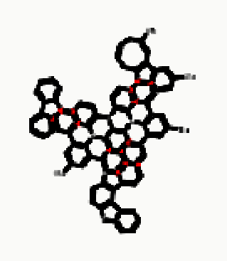 CC(C)(C)/C1=C/c2c(n(-c3ccc4c(c3)N(c3c(-c5ccccc5)cc(C(C)(C)C)cc3-c3ccccc3)c3cc(-c5cccc6c5oc5ccc7sc8ccccc8c7c56)cc5c3B4c3ccc(-n4c6ccccc6c6ccccc64)cc3N5c3c(-c4ccccc4)cc(C(C)(C)C)cc3-c3ccccc3)c3ccc(C(C)(C)C)cc23)C/C=C\C1